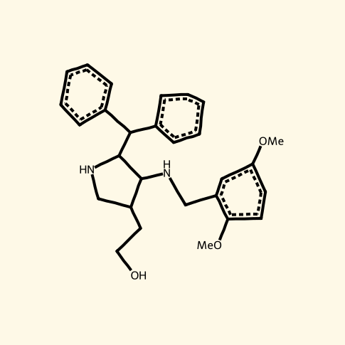 COc1ccc(OC)c(CNC2C(CCO)CNC2C(c2ccccc2)c2ccccc2)c1